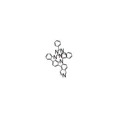 c1ccc(-c2nc(-c3ccccc3)nc(-n3c4ccccc4c4ccc5c6c7ccncc7ccc6n(-c6ccccc6)c5c43)n2)cc1